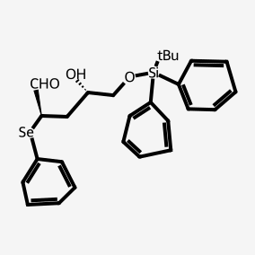 CC(C)(C)[Si](OC[C@@H](O)C[C@H](C=O)[Se]c1ccccc1)(c1ccccc1)c1ccccc1